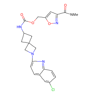 CNC(=O)c1cc(COC(=O)NC2CC3(C2)CN(c2ccc4cc(Cl)ccc4n2)C3)on1